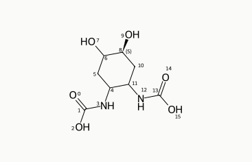 O=C(O)NC1CC(O)[C@@H](O)CC1NC(=O)O